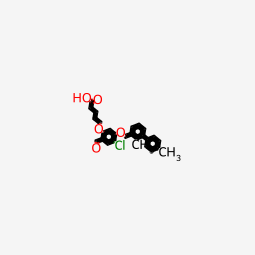 Cc1ccc(-c2cccc(COc3cc(OCCCCC(=O)O)c(C=O)cc3Cl)c2C)cc1